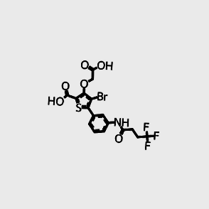 O=C(O)COc1c(C(=O)O)sc(-c2cccc(NC(=O)CCC(F)(F)F)c2)c1Br